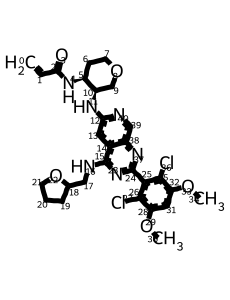 C=CC(=O)N[C@H]1CCOC[C@H]1Nc1cc2c(NCC3CCCO3)nc(-c3c(Cl)c(OC)cc(OC)c3Cl)nc2cn1